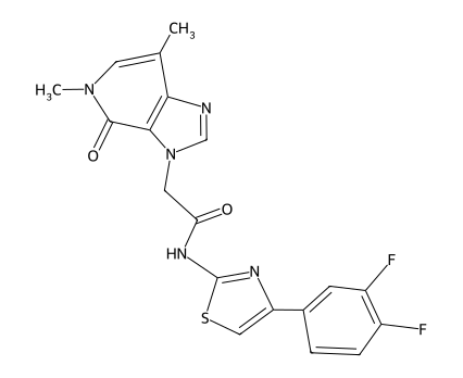 Cc1cn(C)c(=O)c2c1ncn2CC(=O)Nc1nc(-c2ccc(F)c(F)c2)cs1